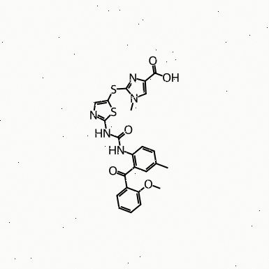 COc1ccccc1C(=O)c1cc(C)ccc1NC(=O)Nc1ncc(Sc2nc(C(=O)O)cn2C)s1